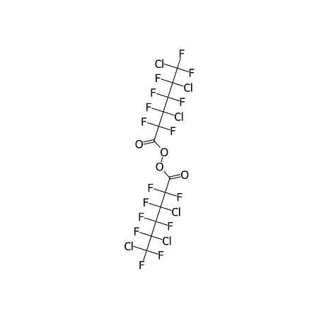 O=C(OOC(=O)C(F)(F)C(F)(Cl)C(F)(F)C(F)(Cl)C(F)(F)Cl)C(F)(F)C(F)(Cl)C(F)(F)C(F)(Cl)C(F)(F)Cl